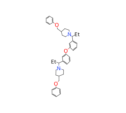 CCC(c1cccc(Oc2cccc(C(CC)N3CCC(COc4ccccc4)CC3)c2)c1)N1CCC(COc2ccccc2)CC1